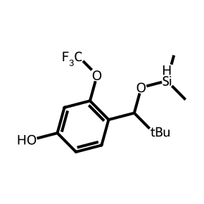 C[SiH](C)OC(c1ccc(O)cc1OC(F)(F)F)C(C)(C)C